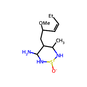 CC/C=C\C(CC1C(C)N[S+]([O-])NC1N)OC